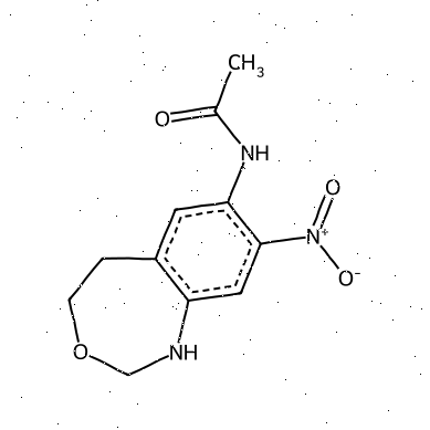 CC(=O)Nc1cc2c(cc1[N+](=O)[O-])NCOCC2